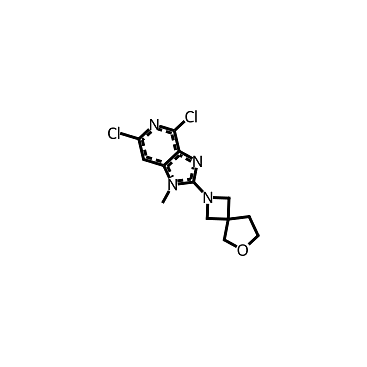 Cn1c(N2CC3(CCOC3)C2)nc2c(Cl)nc(Cl)cc21